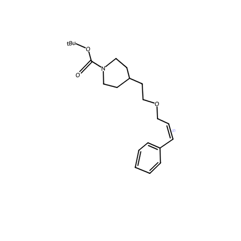 CC(C)(C)OC(=O)N1CCC(CCOC/C=C\c2ccccc2)CC1